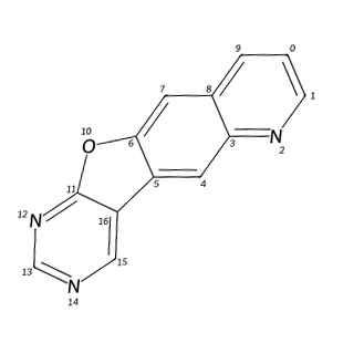 c1cnc2cc3c(cc2c1)oc1ncncc13